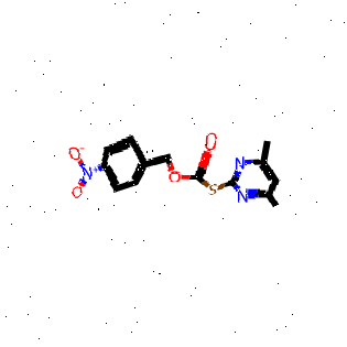 Cc1cc(C)nc(SC(=O)OCc2ccc([N+](=O)[O-])cc2)n1